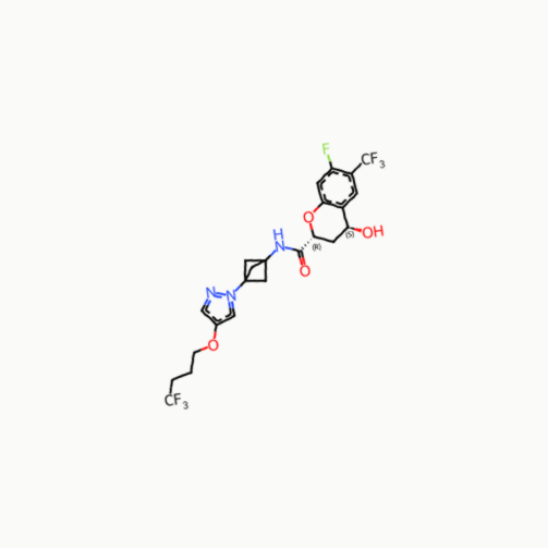 O=C(NC12CC(n3cc(OCCCC(F)(F)F)cn3)(C1)C2)[C@H]1C[C@H](O)c2cc(C(F)(F)F)c(F)cc2O1